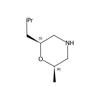 CC(C)C[C@H]1CNC[C@@H](C)O1